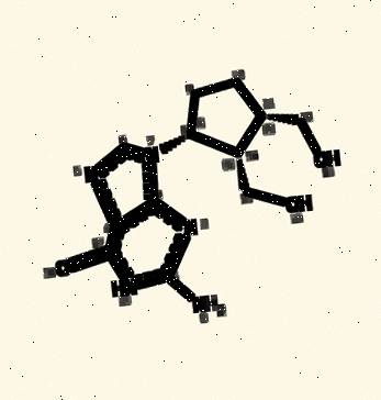 Nc1nc2c(ncn2[C@@H]2CC[C@H](CO)[C@@H]2CO)c(=O)[nH]1